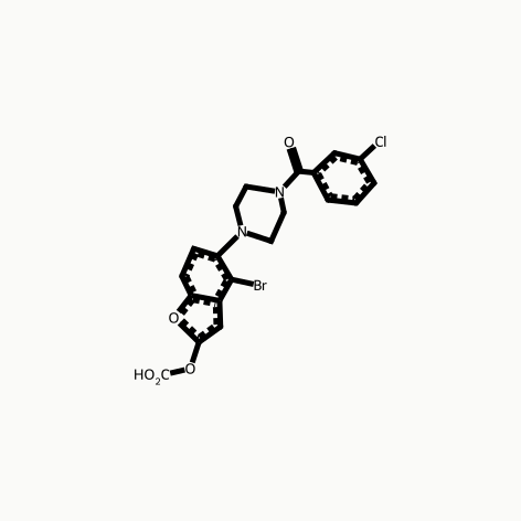 O=C(O)Oc1cc2c(Br)c(N3CCN(C(=O)c4cccc(Cl)c4)CC3)ccc2o1